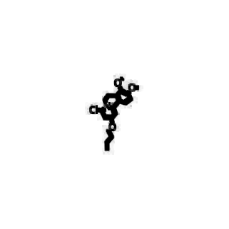 CCCCOc1cc(Cl)[n+]2c(c1)-c1ccc(OC)c(OC)c1CC2